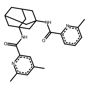 Cc1cc(C)nc(C(=O)NC23CC4CC(CC(NC(=O)c5cccc(C)n5)(C4)C2)C3)c1